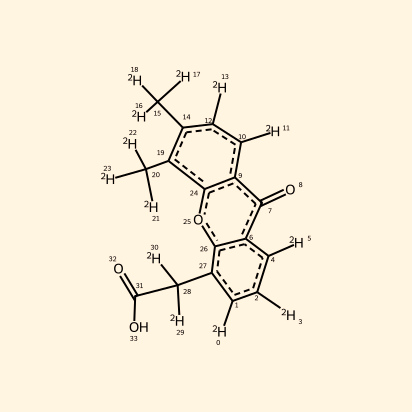 [2H]c1c([2H])c([2H])c2c(=O)c3c([2H])c([2H])c(C([2H])([2H])[2H])c(C([2H])([2H])[2H])c3oc2c1C([2H])([2H])C(=O)O